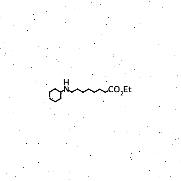 CCOC(=O)CCCCCCCNC1CCCCC1